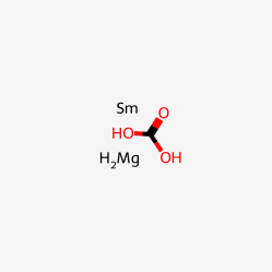 O=C(O)O.[MgH2].[Sm]